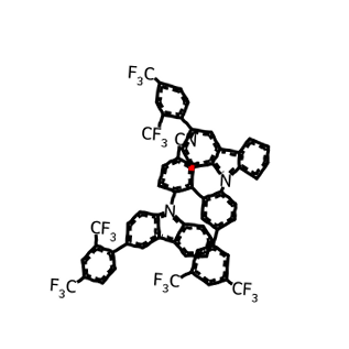 N#Cc1ccc(-n2c3ccccc3c3cc(-c4ccc(C(F)(F)F)cc4C(F)(F)F)ccc32)c(-c2cc(-c3cc(C(F)(F)F)cc(C(F)(F)F)c3)ccc2-n2c3ccccc3c3cc(-c4ccc(C(F)(F)F)cc4C(F)(F)F)ccc32)c1